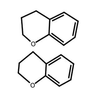 c1ccc2c(c1)CCCO2.c1ccc2c(c1)CCCO2